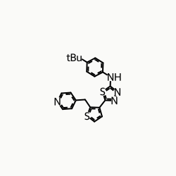 CC(C)(C)c1ccc(Nc2nnc(-c3ccsc3Cc3ccncc3)s2)cc1